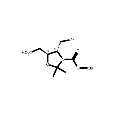 CC(C)C[C@H]1[C@H](CC(=O)O)OC(C)(C)N1C(=O)OC(C)(C)C